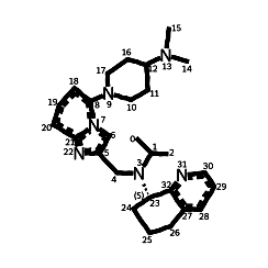 CC(C)N(Cc1cn2c(N3CCC(N(C)C)CC3)cccc2n1)[C@H]1CCCc2cccnc21